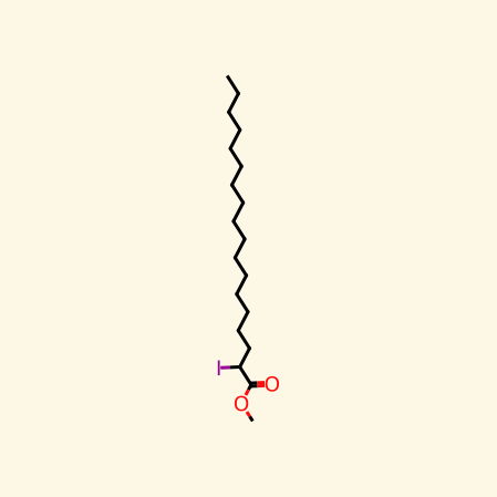 CCCCCCCCCCCCCCCCC(I)C(=O)OC